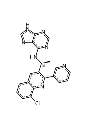 C[C@H](Nc1ncnc2[nH]cnc12)c1cc2cccc(Cl)c2nc1-c1cccnc1